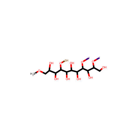 BOCC(O)C(O)C(OS)C(O)C(O)C(O)C(OI)C(O)C(CO)OI